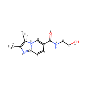 Cc1nc2ccc(C(=O)NCCO)cn2c1C